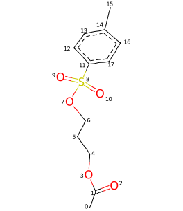 CC(=O)OCCCOS(=O)(=O)c1ccc(C)cc1